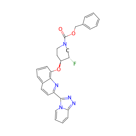 O=C(OCc1ccccc1)N1CC[C@H](Oc2cccc3ccc(-c4nnc5ccccn45)nc23)[C@@H](F)C1